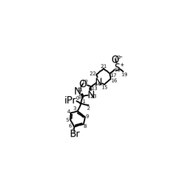 CC(C)C(C)(c1ccc(Br)cc1)c1noc(N2CCC([S+](C)[O-])CC2)n1